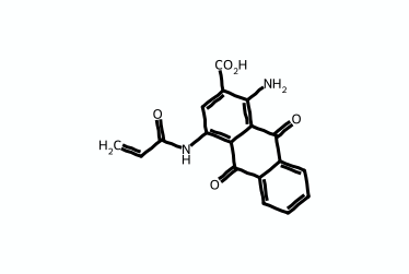 C=CC(=O)Nc1cc(C(=O)O)c(N)c2c1C(=O)c1ccccc1C2=O